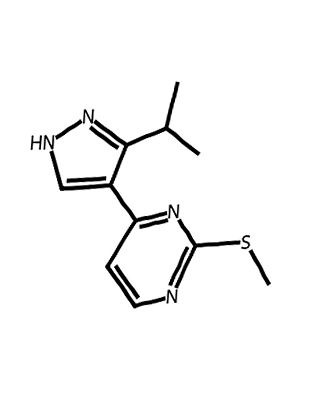 CSc1nccc(-c2c[nH]nc2C(C)C)n1